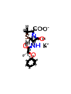 C[C@@H](Oc1ccccc1)C(=O)N[C@@H]1C(=O)N2[C@@H]1SC(C)(C)[C@@H]2C(=O)[O-].[K+]